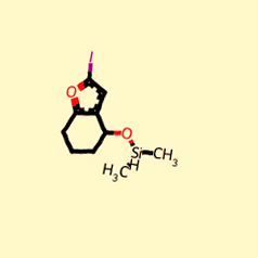 C[SiH](C)OC1CCCc2oc(I)cc21